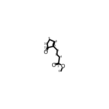 COC(=O)CCCC1=CCCC1=O